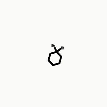 [CH2]CC1(CC)CCCCC1